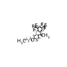 CCCCOc1ccc([C](C)c2cc(C(F)(F)F)cc(C(F)(F)F)c2)cc1